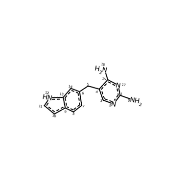 Nc1ncc(Cc2ccc3cc[nH]c3c2)c(N)n1